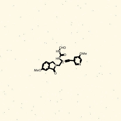 COc1cncc(C#C[C@H](CN2Cc3ccc(OC)cc3C2=O)NC(=O)NC=O)c1